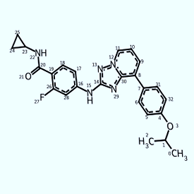 CC(C)Oc1ccc(-c2cccn3nc(Nc4ccc(C(=O)NC5CC5)c(F)c4)nc23)cc1